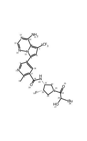 Cc1ncc(-c2cc(C(F)(F)F)c3c(N)ncnn23)cc1C(=O)N[C@@H]1CN(C(=O)C(O)C(C)(C)C)C[C@@H]1F